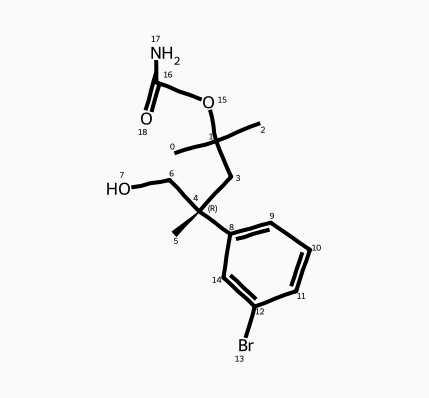 CC(C)(C[C@@](C)(CO)c1cccc(Br)c1)OC(N)=O